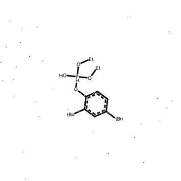 CCO[PH](O)(OCC)Oc1ccc(C(C)(C)C)cc1C(C)(C)C